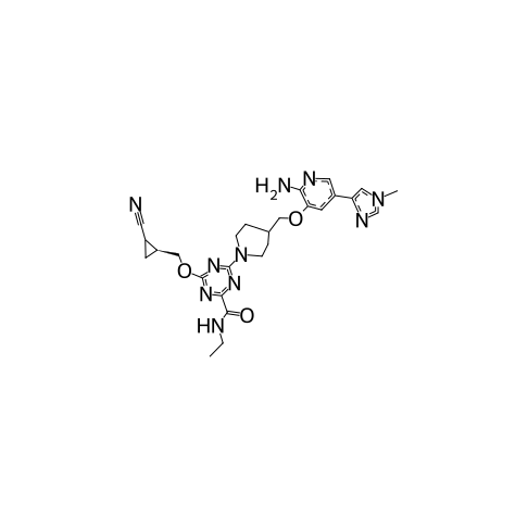 CCNC(=O)c1nc(OC[C@H]2CC2C#N)nc(N2CCC(COc3cc(-c4cn(C)cn4)cnc3N)CC2)n1